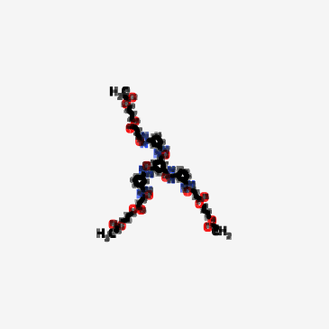 C=CC(=O)OCCCCOC(=O)CCc1nc(-c2cccc(-c3noc(-c4cc(-c5nc(-c6cccc(-c7noc(CCC(=O)OCCCCOC(=O)C=C)n7)c6)no5)cc(-c5nc(-c6cccc(-c7noc(CCC(=O)OCCCCOC(=O)CC)n7)c6)no5)c4)n3)c2)no1